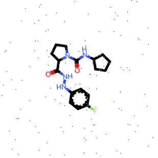 O=C(NNc1ccc(F)cc1)C1CCCN1C(=O)NC1CCCC1